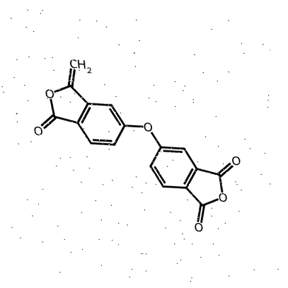 C=C1OC(=O)c2ccc(Oc3ccc4c(c3)C(=O)OC4=O)cc21